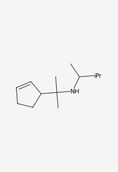 CC(C)C(C)NC(C)(C)C1C=CCC1